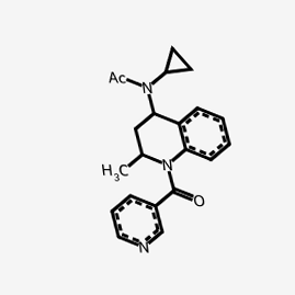 CC(=O)N(C1CC1)C1CC(C)N(C(=O)c2cccnc2)c2ccccc21